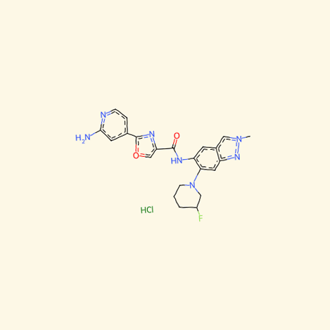 Cl.Cn1cc2cc(NC(=O)c3coc(-c4ccnc(N)c4)n3)c(N3CCCC(F)C3)cc2n1